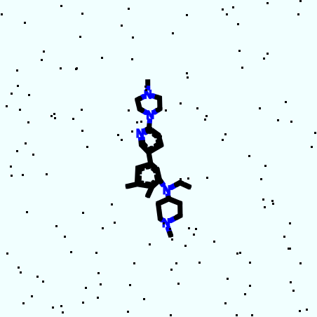 CCN(c1cc(-c2ccc(N3CCN(C)CC3)nc2)cc(C)c1C)C1CCN(C)CC1